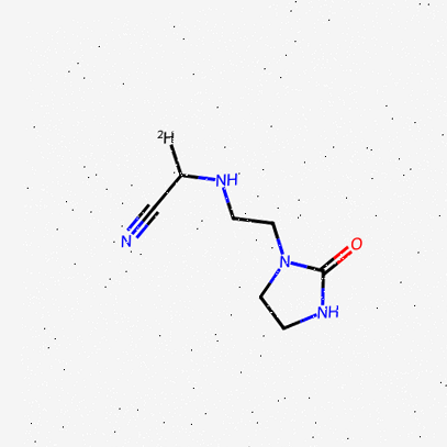 [2H]C(C#N)NCCN1CCNC1=O